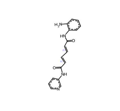 Nc1ccccc1NC(=O)/C=C/C=C/C(=O)Nc1cccnc1